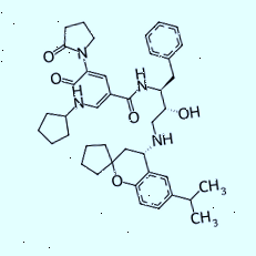 CC(C)c1ccc2c(c1)[C@@H](NC[C@@H](O)[C@H](Cc1ccccc1)NC(=O)C(=C/NC1CCCC1)/C=C(\C=O)N1CCCC1=O)CC1(CCCC1)O2